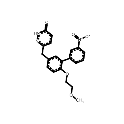 COCCOc1ccc(Cc2ccc(=O)[nH]n2)cc1-c1cccc([N+](=O)[O-])c1